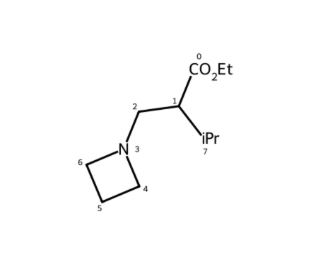 CCOC(=O)C(CN1CCC1)C(C)C